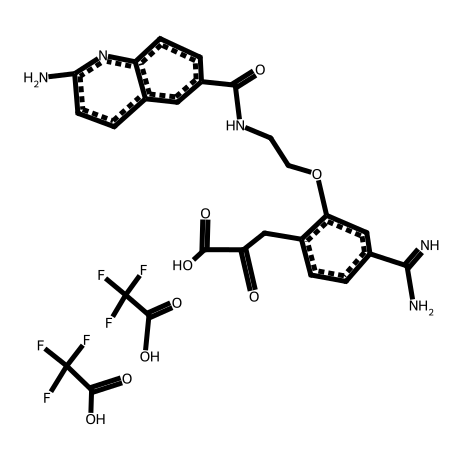 N=C(N)c1ccc(CC(=O)C(=O)O)c(OCCNC(=O)c2ccc3nc(N)ccc3c2)c1.O=C(O)C(F)(F)F.O=C(O)C(F)(F)F